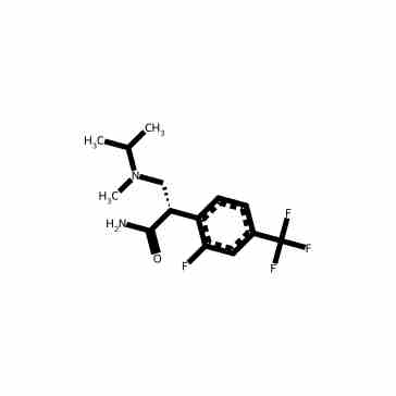 CC(C)N(C)C[C@@H](C(N)=O)c1ccc(C(F)(F)F)cc1F